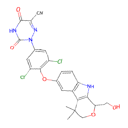 CC1(C)COC(CO)c2[nH]c3ccc(Oc4c(Cl)cc(-n5nc(C#N)c(=O)[nH]c5=O)cc4Cl)cc3c21